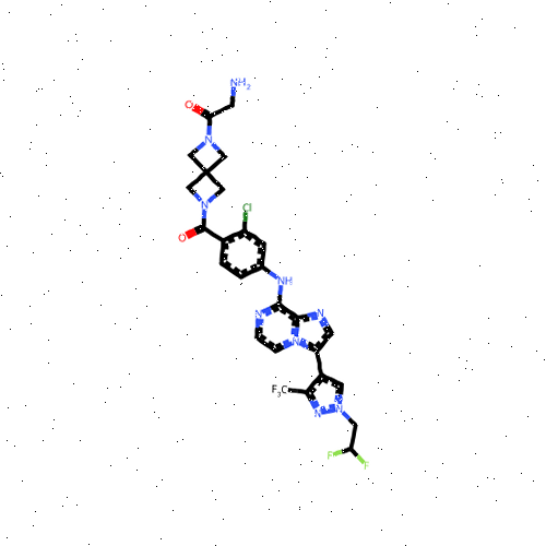 NCC(=O)N1CC2(C1)CN(C(=O)c1ccc(Nc3nccn4c(-c5cn(CC(F)F)nc5C(F)(F)F)cnc34)cc1Cl)C2